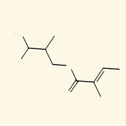 CC=C(C)C(=O)OCC(C)C(O)CCCCCCC